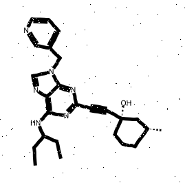 CCC(CC)Nc1nc(C#C[C@]2(O)CCC[C@@H](C)C2)nc2c1ncn2Cc1cccnc1